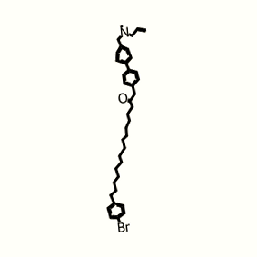 C=CCN(C)Cc1ccc(-c2ccc(CC(=O)CCCCCCCCCCCCCCc3ccc(Br)cc3)cc2)cc1